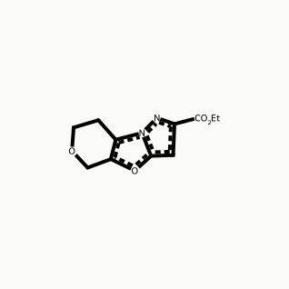 CCOC(=O)c1cc2oc3c(n2n1)CCOC3